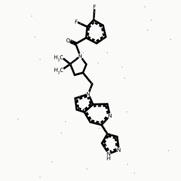 CC1(C)CC(Cn2ccc3cc(-c4cn[nH]c4)ncc32)CN1C(=O)c1cccc(F)c1F